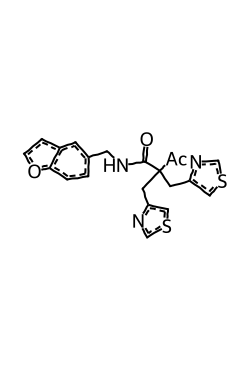 CC(=O)C(Cc1cscn1)(Cc1cscn1)C(=O)NCc1ccc2occc2c1